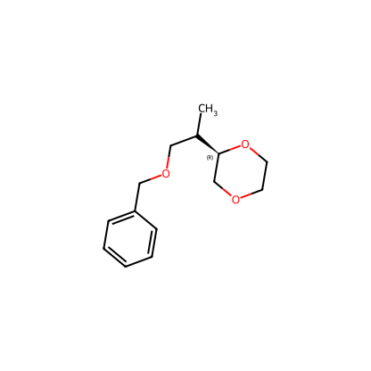 CC(COCc1ccccc1)[C@@H]1COCCO1